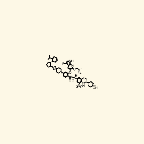 CO[C@@H](C)COc1nc2[nH]cc(F)c2cc1Oc1cc(N2CCC3(CC2)CN(C2CCC[C@@H]2c2ccccc2C(C)C)C3)ccc1C(=O)NS(=O)(=O)c1cc2c(c([N+](=O)[O-])c1)N[C@@H]([C@H]1CC[C@](C)(O)CC1)CO2